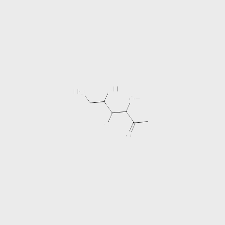 [CH2]C(=O)C(O)C(O)C(O)CO